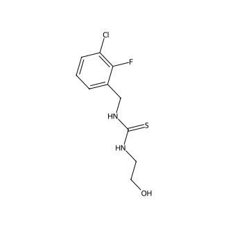 OCCNC(=S)NCc1cccc(Cl)c1F